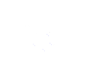 Cn1nnnc1SCl